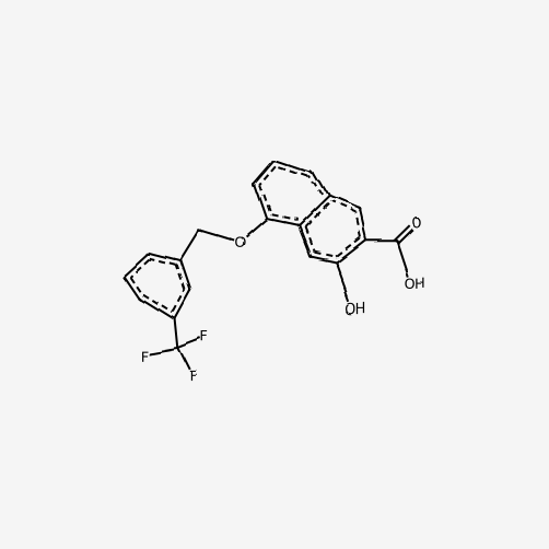 O=C(O)c1cc2cccc(OCc3cccc(C(F)(F)F)c3)c2cc1O